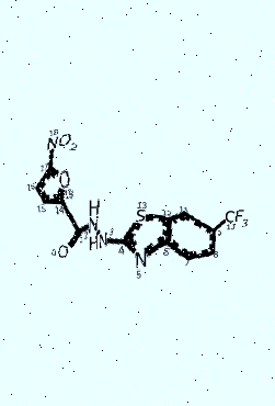 O=C(NNc1nc2ccc(C(F)(F)F)cc2s1)c1ccc([N+](=O)[O-])o1